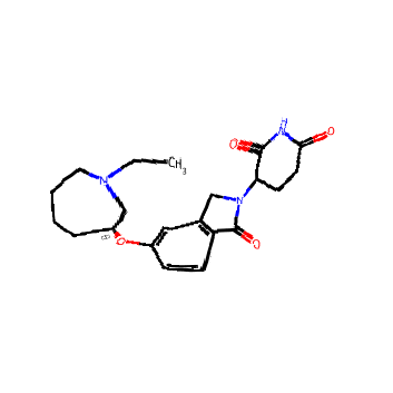 CCN1CCCC[C@H](Oc2ccc3c(c2)CN(C2CCC(=O)NC2=O)C3=O)C1